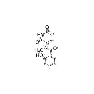 CN(C(=O)c1ccccc1O)C1CCC(=O)NC1=O